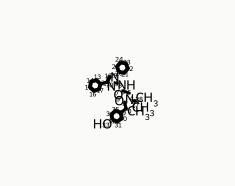 CC(C(=O)N(CC(=O)Nc1nc(-c2ccccc2)cn1-c1ccccc1)C(C)C)c1ccc(O)cc1